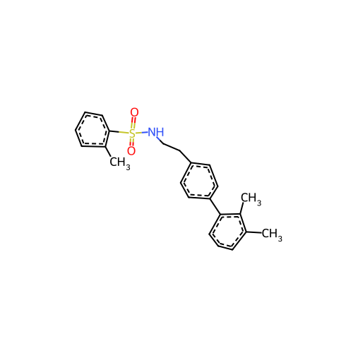 Cc1ccccc1S(=O)(=O)NCCc1ccc(-c2cccc(C)c2C)cc1